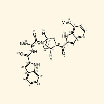 COc1cccc2cc(C(=O)N3C[C@@H]4C[C@H]3CN4C(=O)[C@@H](NC(=O)c3cc4ccccc4[nH]3)C(C)(C)C)[nH]c12